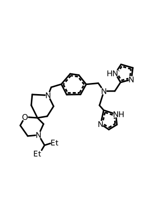 CCC(CC)N1CCOC2(CCN(Cc3ccc(CN(Cc4ncc[nH]4)Cc4ncc[nH]4)cc3)CC2)C1